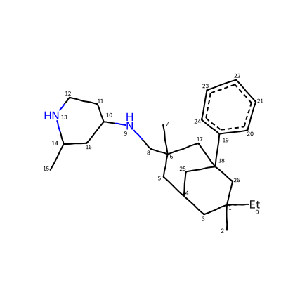 CCC1(C)CC2CC(C)(CNC3CCNC(C)C3)CC(c3ccccc3)(C2)C1